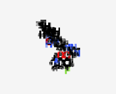 CC(C)N(C(=O)c1cc(F)ccc1Oc1cncnc1N1CC2(CCN(C(=O)[C@H]3N[C@H]4CC[C@@H]3C[C@@H]4CC3CC3)CC2)C1)C(C)C